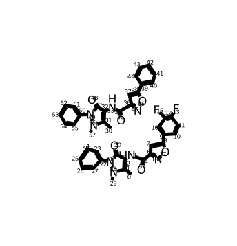 Cc1c(NC(=O)c2cc(-c3ccc(F)c(F)c3)on2)c(=O)n(-c2ccccc2)n1C.Cc1c(NC(=O)c2cc(-c3ccccc3)on2)c(=O)n(-c2ccccc2)n1C